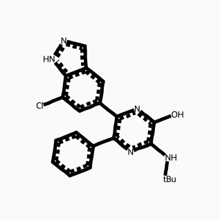 CC(C)(C)Nc1nc(-c2ccccc2)c(-c2cc(Cl)c3[nH]ncc3c2)nc1O